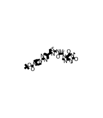 C[C@@H](C(=O)Nc1nc(-c2cnc(N3CC4CC3CN4C(=O)OC(C)(C)C)nc2)cs1)n1cnc2c1c(=O)n(C)c(=O)n2C